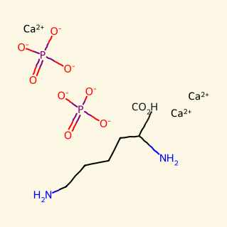 NCCCCC(N)C(=O)O.O=P([O-])([O-])[O-].O=P([O-])([O-])[O-].[Ca+2].[Ca+2].[Ca+2]